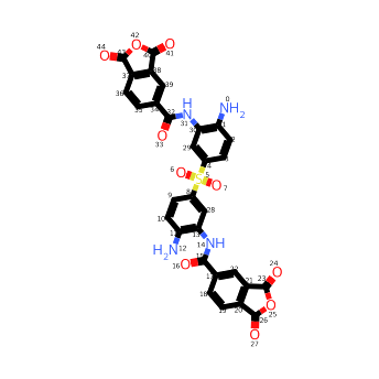 Nc1ccc(S(=O)(=O)c2ccc(N)c(NC(=O)c3ccc4c(c3)C(=O)OC4=O)c2)cc1NC(=O)c1ccc2c(c1)C(=O)OC2=O